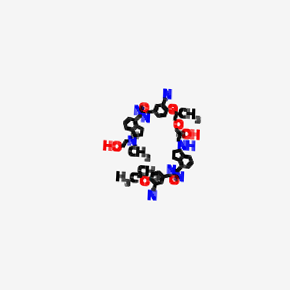 CCN(CCO)[C@@H]1CCc2c(-c3noc(-c4ccc(OC(C)COC[C@H](O)CNC5CCc6c(-c7noc(-c8ccc(OC(C)C)c(C#N)c8)n7)cccc65)c(C#N)c4)n3)cccc21